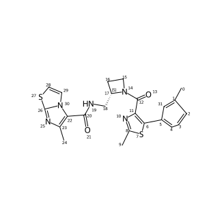 Cc1cccc(-c2sc(C)nc2C(=O)N2CC[C@H]2CNC(=O)c2c(C)nc3sccn23)c1